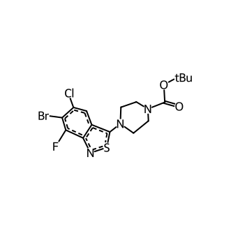 CC(C)(C)OC(=O)N1CCN(c2snc3c(F)c(Br)c(Cl)cc23)CC1